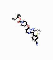 Cc1nn2c(OC3CCN(C(=O)OC(C)C)CC3)ccnc2c1-c1ccc(C#N)cc1F